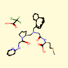 CSCC[C@H](NC(=O)CN(Cc1cccc2ccccc12)C[C@@H]1CCCN1C(=O)CNc1ccccn1)C(=O)O.O=C(O)C(F)(F)F